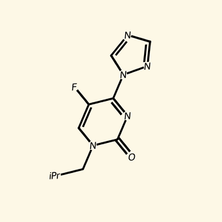 CC(C)Cn1cc(F)c(-n2cncn2)nc1=O